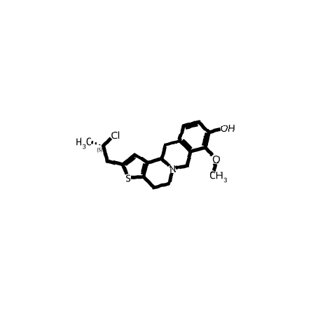 COc1c(O)ccc2c1CN1CCc3sc(C[C@H](C)Cl)cc3C1C2